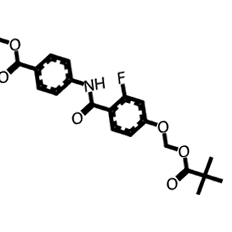 COC(=O)c1ccc(NC(=O)c2ccc(OCOC(=O)C(C)(C)C)cc2F)cc1